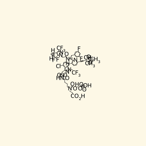 CC(C)(C#Cc1ccc(-c2ccc(Cl)c3c(CS(=O)(=O)NC(=O)CCCN(CCC(=O)O)C(=O)OCOP(=O)(O)O)nn(CC(F)(F)F)c23)c([C@H](Cc2cc(F)cc(F)c2)NC(=O)Cn2nc(C(F)(F)F)c3c2C(F)(F)[C@@H]2C[C@H]32)n1)S(C)(=O)=O